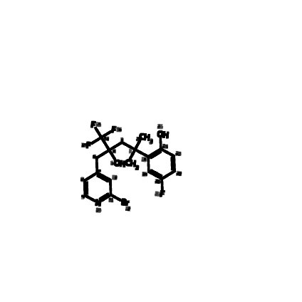 CC(C)(CC(O)(Cc1ccnc(Br)c1)C(F)(F)F)c1cc(F)ccc1O